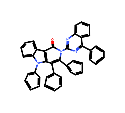 O=c1c2c3ccccc3n(-c3ccccc3)c2c(-c2ccccc2)c(-c2ccccc2)n1-c1nc(-c2ccccc2)c2ccccc2n1